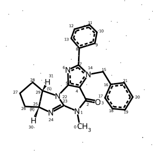 CN1C(=O)c2c(nc(-c3ccccc3)n2Cc2ccccc2)N2C1=N[C@@H]1CCC[C@@H]12